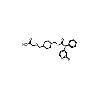 O=C(O)COCC1CCC(COC(=O)N(c2ccccc2)c2ccnc(F)c2)CC1